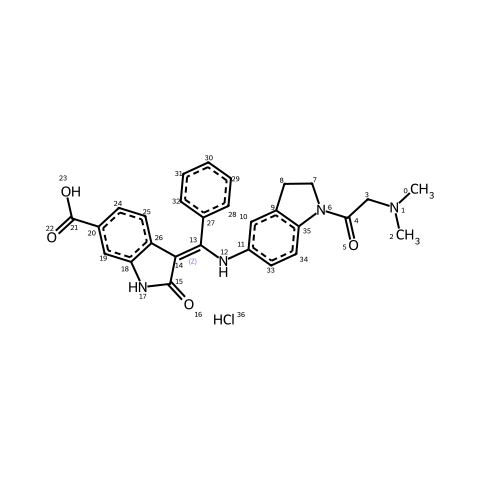 CN(C)CC(=O)N1CCc2cc(N/C(=C3\C(=O)Nc4cc(C(=O)O)ccc43)c3ccccc3)ccc21.Cl